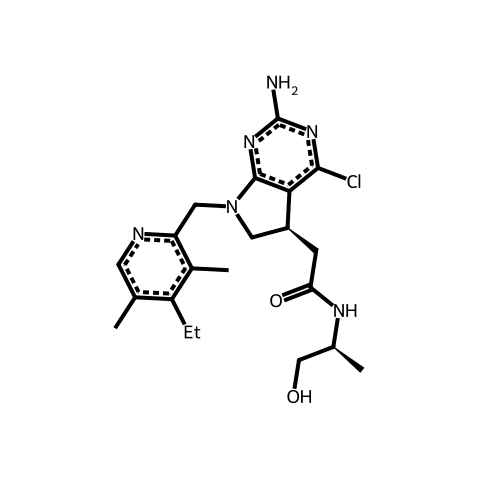 CCc1c(C)cnc(CN2C[C@H](CC(=O)N[C@@H](C)CO)c3c(Cl)nc(N)nc32)c1C